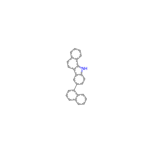 c1ccc2c(-c3ccc4[nH]c5c6ccccc6ccc5c4c3)cccc2c1